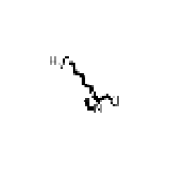 CCCCCCN1CCN=C1CCl